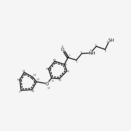 O=C(CCNCCS)c1ccc(Oc2ccccc2)cc1